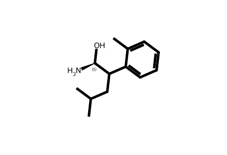 Cc1ccccc1C(CC(C)C)[C@@H](N)O